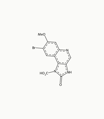 COc1cc2ncc3[nH]c(=O)n(C(=O)O)c3c2cc1Br